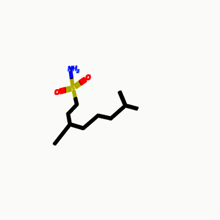 C[C](CCCC(C)C)CCS(N)(=O)=O